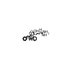 CC1(N(C(=O)[C@H](N)Cc2ccccc2)[C@@H](CCCNC(=N)N)C(=O)O)CCCCN1